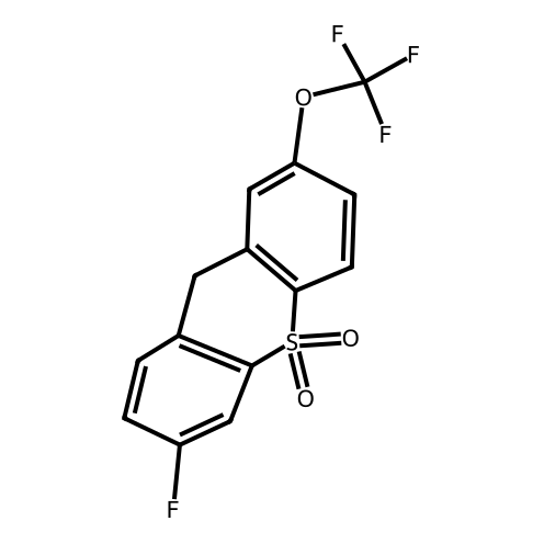 O=S1(=O)c2ccc(OC(F)(F)F)cc2Cc2ccc(F)cc21